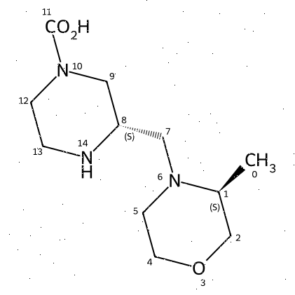 C[C@H]1COCCN1C[C@H]1CN(C(=O)O)CCN1